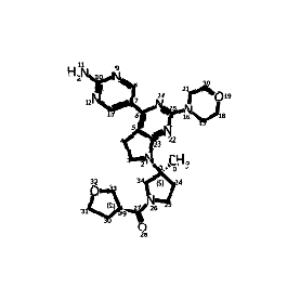 C[C@]1(N2CCc3c(-c4cnc(N)nc4)nc(N4CCOCC4)nc32)CCN(C(=O)[C@H]2CCOC2)C1